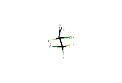 FC(F)(F)[C@@](F)(Cl)C(F)(F)Cl